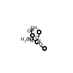 COC(=O)c1ccc2c(-c3ccc(OCc4ccccc4)nc3OCc3ccccc3)nn(C)c2c1